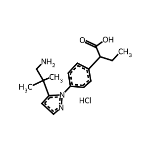 CCC(C(=O)O)c1ccc(-n2nccc2C(C)(C)CN)cc1.Cl